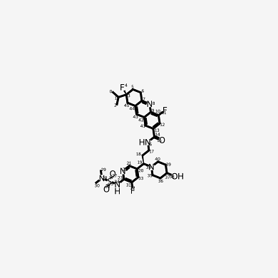 CC(C)[C@]1(F)CCc2nc3c(F)cc(C(=O)NCC[C@H](c4cnc(NS(=O)(=O)N(C)C)c(F)c4)N4CCC(O)CC4)cc3cc2C1